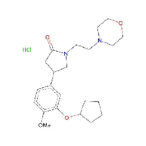 COc1ccc(C2CC(=O)N(CCN3CCOCC3)C2)cc1OC1CCCC1.Cl